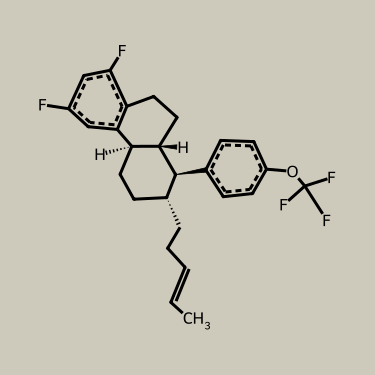 C/C=C/CC[C@@H]1CC[C@H]2c3cc(F)cc(F)c3CC[C@@H]2[C@H]1c1ccc(OC(F)(F)F)cc1